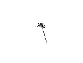 CCCCCCCCCCCCCCCCCCCC(=O)N1c2cc[c]cc2Oc2c[c]ccc21